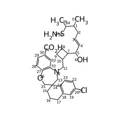 CC(C/C=C/C(O)C1CCC1CN1CC2(CCCc3cc(Cl)ccc32)COc2ccc(C(=O)O)cc21)C(C)SN